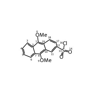 COc1c2ccccc2c(OC)c2cc(S(=O)(=O)Cl)ccc12